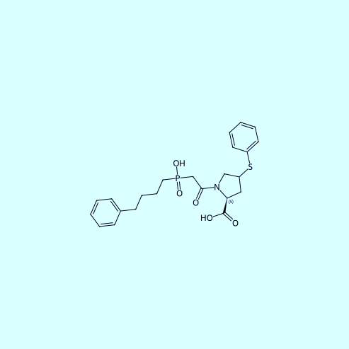 O=C(O)[C@@H]1CC(Sc2ccccc2)CN1C(=O)CP(=O)(O)CCCCc1ccccc1